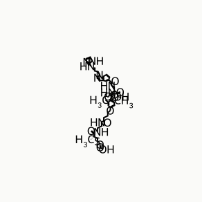 Cc1cc(OCCCC(=O)NCCNC(=O)[C@@H](C)CSOOO)cc(C)c1S(=O)(=O)N[C@@H](CNC(=O)c1ccc2c(cnn2CCCNc2ncc[nH]2)c1)C(=O)O